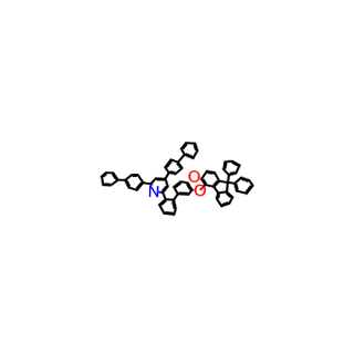 c1ccc(-c2ccc(-c3cc(-c4ccc(-c5ccccc5)cc4)nc(-c4ccccc4-c4ccc5c(c4)Oc4c(ccc6c4-c4ccccc4C6(c4ccccc4)c4ccccc4)O5)c3)cc2)cc1